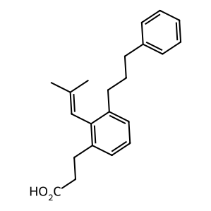 CC(C)=Cc1c(CCCc2ccccc2)cccc1CCC(=O)O